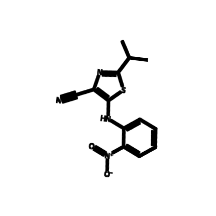 CC(C)c1nc(C#N)c(Nc2ccccc2[N+](=O)[O-])s1